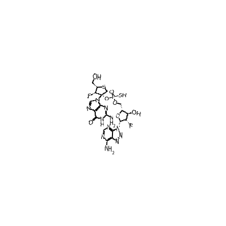 Nc1nc2c(ncn2[C@]2(OP(=O)(S)OC[C@H]3O[C@@H](n4nnc5c(N)ncnc54)[C@@H](F)[C@@H]3O)CS[C@H](CO)[C@@H]2F)c(=O)[nH]1